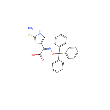 NSc1cc(C(=NOC(c2ccccc2)(c2ccccc2)c2ccccc2)C(=O)O)c[nH]1